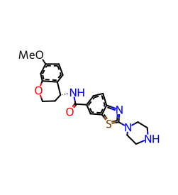 COc1ccc2c(c1)OCC[C@H]2NC(=O)c1ccc2nc(N3CCNCC3)sc2c1